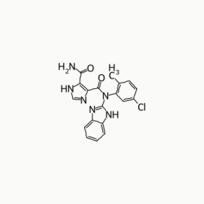 Cc1ccc(Cl)cc1N(C(=O)c1nc[nH]c1C(N)=O)c1nc2ccccc2[nH]1